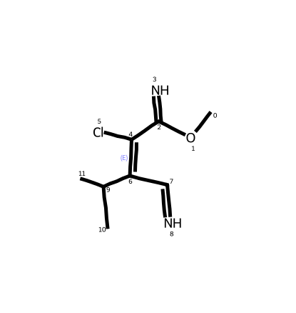 COC(=N)/C(Cl)=C(\C=N)C(C)C